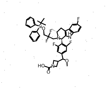 COC(c1cc(F)c([C@@H]2c3[nH]c4ccc(F)cc4c3C[C@@H](C)N2CC(F)(F)CO[Si](c2ccccc2)(c2ccccc2)C(C)(C)C)c(F)c1)C1CN(C(=O)O)C1